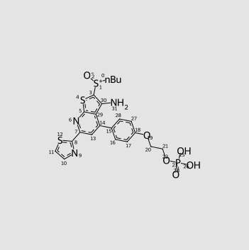 CCCC[S+]([O-])c1sc2nc(-c3nccs3)cc(-c3ccc(OCCOP(=O)(O)O)cc3)c2c1N